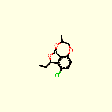 CCC1OB2OC(C)COc3ccc(Cl)c1c32